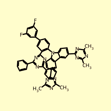 Cc1nc(C)nc(-c2ccc3c(c2)c2cc(-c4nc(C)nc(C)n4)ccc2n3-c2ccc(-c3cc(F)cc(F)c3)cc2-c2nc(-c3ccccc3)nc(-c3ccccc3)n2)n1